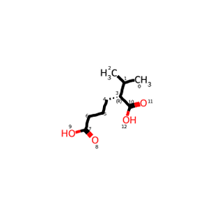 CC(C)[C@@H](CCCC(=O)O)C(=O)O